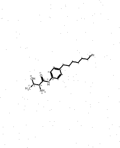 CC(C)CCCCCCc1ccc(NC(=O)[C@@H](N)[C@@H](C)O)cc1